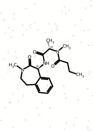 CCCC(=O)N(C)[C@@H](C)C(=O)N[C@@H]1C(=O)N(C)CCc2ccccc21